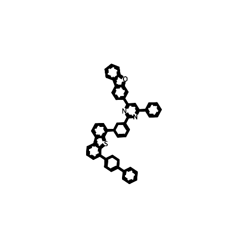 C1=CC(c2cccc3c2sc2c(C4=CC=C(c5ccccc5)CC4)cccc23)CC(c2nc(-c3ccccc3)cc(-c3ccc4c(c3)oc3ccccc34)n2)=C1